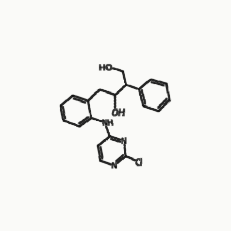 OCC(c1ccccc1)C(O)Cc1ccccc1Nc1ccnc(Cl)n1